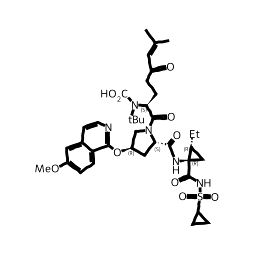 CC[C@@H]1C[C@]1(NC(=O)[C@@H]1C[C@@H](Oc2nccc3cc(OC)ccc23)CN1C(=O)[C@H](CCC(=O)C=C(C)C)N(C(=O)O)C(C)(C)C)C(=O)NS(=O)(=O)C1CC1